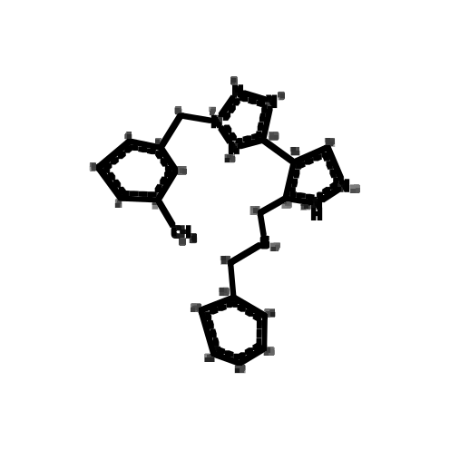 Cc1cccc(Cn2nnc(-c3cn[nH]c3CSCc3ccccc3)n2)c1